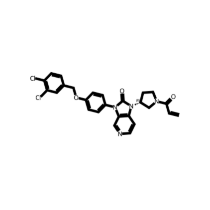 C=CC(=O)N1CC[C@@H](n2c(=O)n(-c3ccc(OCc4ccc(Cl)c(Cl)c4)cc3)c3cnccc32)C1